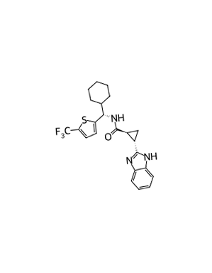 O=C(N[C@H](c1ccc(C(F)(F)F)s1)C1CCCCC1)[C@H]1C[C@@H]1c1nc2ccccc2[nH]1